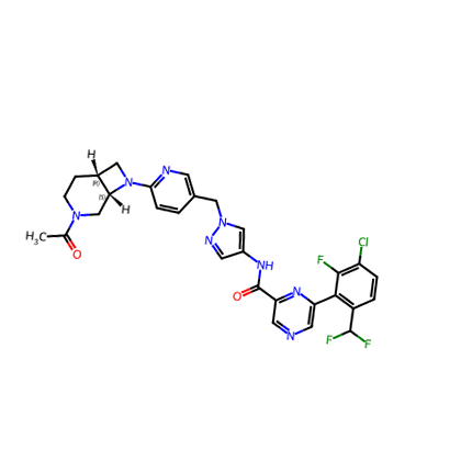 CC(=O)N1CC[C@@H]2CN(c3ccc(Cn4cc(NC(=O)c5cncc(-c6c(C(F)F)ccc(Cl)c6F)n5)cn4)cn3)[C@@H]2C1